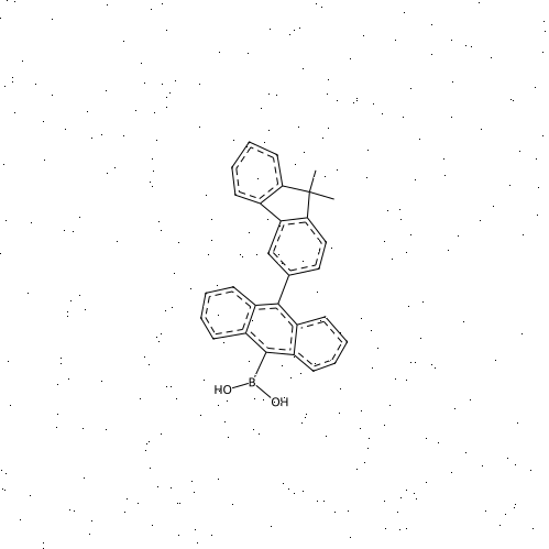 CC1(C)c2ccccc2-c2cc(-c3c4ccccc4c(B(O)O)c4ccccc34)ccc21